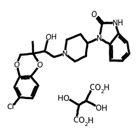 CC1(C(O)CN2CCC(n3c(=O)[nH]c4ccccc43)CC2)COc2cc(Cl)ccc2O1.O=C(O)C(O)C(O)C(=O)O